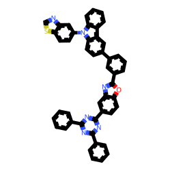 c1ccc(-c2nc(-c3ccccc3)nc(-c3ccc4oc(-c5cccc(-c6ccc7c(c6)c6ccccc6n7-c6ccc7scnc7c6)c5)nc4c3)n2)cc1